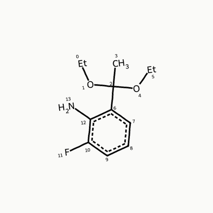 CCOC(C)(OCC)c1cccc(F)c1N